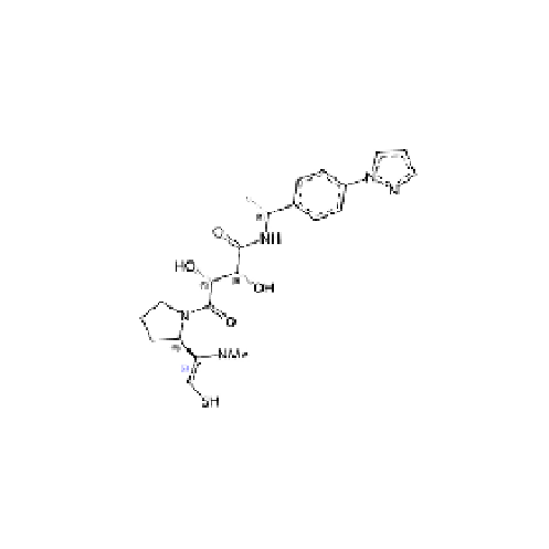 CN/C(=C\S)[C@H]1CCCN1C(=O)[C@H](O)[C@@H](O)C(=O)N[C@H](C)c1ccc(-n2cccn2)cc1